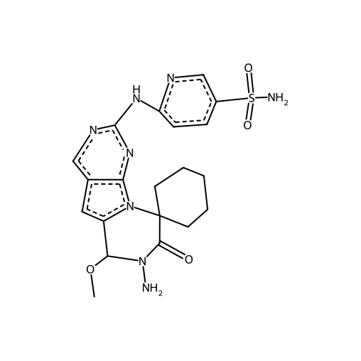 COC1c2cc3cnc(Nc4ccc(S(N)(=O)=O)cn4)nc3n2C2(CCCCC2)C(=O)N1N